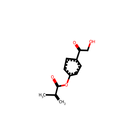 C=C(C)C(=O)Oc1ccc(C(=O)CO)cc1